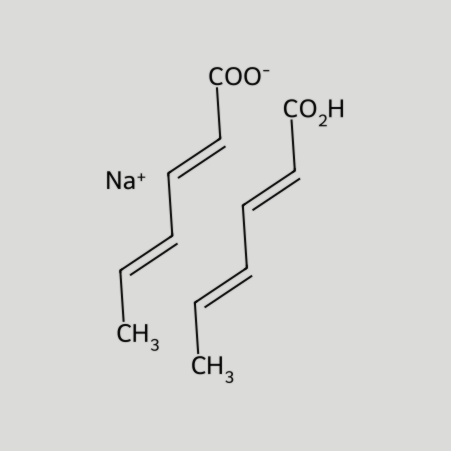 CC=CC=CC(=O)O.CC=CC=CC(=O)[O-].[Na+]